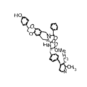 COC(=O)[C@H](Cc1ccc(-c2ccnc(C)c2C)cc1)NC(=O)[C@@H]1Cc2cc3c(cc2CN1C(=O)c1ccccc1)OC(c1ccc(O)cc1)CO3